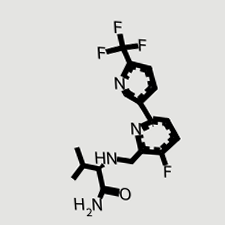 CC(C)[C@@H](NCc1nc(-c2ccc(C(F)(F)F)nc2)ccc1F)C(N)=O